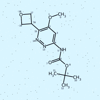 COc1cc(NC(=O)OC(C)(C)C)nnc1C1COC1